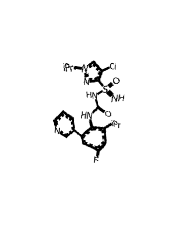 CC(C)c1cc(F)cc(-c2cccnc2)c1NC(=O)NS(=N)(=O)c1nn(C(C)C)cc1Cl